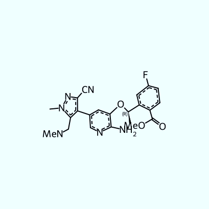 CNCc1c(-c2cnc(N)c(O[C@H](C)c3cc(F)ccc3C(=O)OC)c2)c(C#N)nn1C